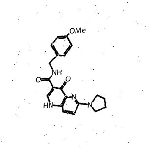 COc1ccc(CNC(=O)c2c[nH]c3ccc(N4CCCC4)nc3c2=O)cc1